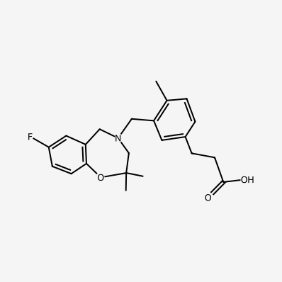 Cc1ccc(CCC(=O)O)cc1CN1Cc2cc(F)ccc2OC(C)(C)C1